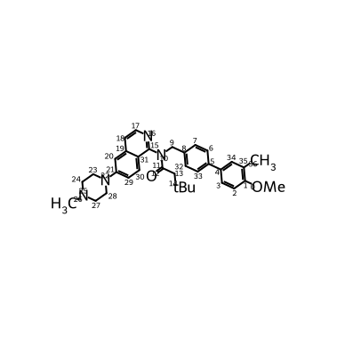 COc1ccc(-c2ccc(CN(C(=O)CC(C)(C)C)c3nccc4cc(N5CCN(C)CC5)ccc34)cc2)cc1C